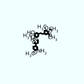 COc1ccc(C(=O)/C=C\Nc2cc(CCc3cc(OC)c(OC)c(OC)c3)cc(O)c2OC)cc1N